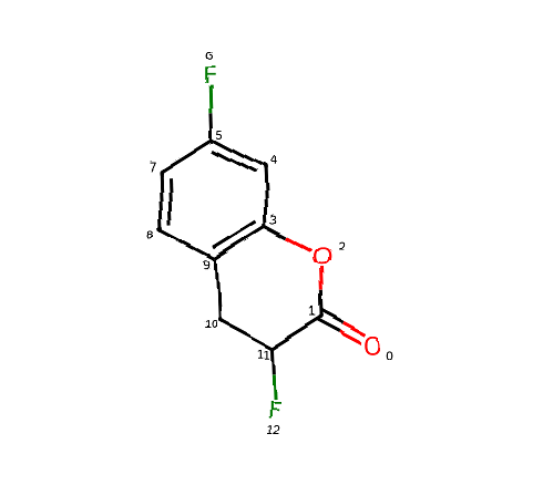 O=C1Oc2cc(F)ccc2CC1F